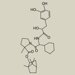 CC1(C(=O)OC2CC3CCC2(C)C3(C)C)CCCN1C(=O)C(NC(=O)C(O)Cc1ccc(O)c(O)c1)C1CCCCC1